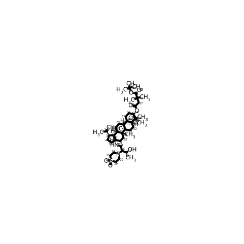 C=C(C)[C@@H]1CC[C@]2(NCC([C@@H](C)O)N3CCS(=O)(=O)CC3)CC[C@]3(C)[C@H](CC[C@@H]4[C@@]5(C)CC[C@H](OC(=O)CC(C)(C)C(=O)OC(C)(C)C)C(C)(C)[C@@H]5CC[C@]43C)[C@@H]12